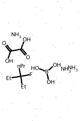 CCCC(F)(CC)CC.N.N.N.O=C(O)C(=O)O.OB(O)O